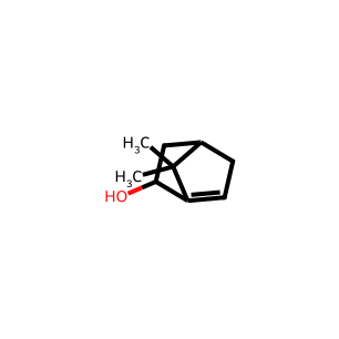 CC1(C)C2=CCC1CC2O